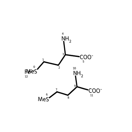 CSCCC(N)C(=O)[O-].CSCCC(N)C(=O)[O-].[Fe+2]